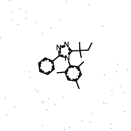 CCC(C)(C)c1nnc(-c2ccccc2)n1-c1c(C)cc(C)cc1C